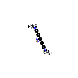 CCN(CC)c1ccc(-c2ccc(-c3ccc(-c4ccc(-c5ccc(N(CC)CC)cc5)cc4)c4nsnc34)cc2)cc1